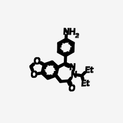 CCC(CC)N1N=C(c2ccc(N)cc2)c2cc3c(cc2CC1=O)OCO3